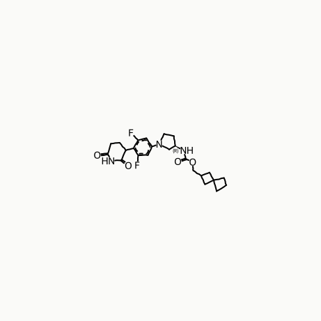 O=C1CCC(c2c(F)cc(N3CC[C@@H](NC(=O)OCC4CC5(CCC5)C4)C3)cc2F)C(=O)N1